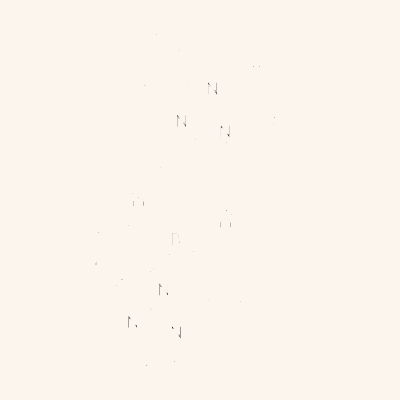 c1ccc(-c2nc(-c3ccccc3)nc(-c3cc4c5c(c3)Oc3cccc6c3B5c3c(cccc3N6c3ncccn3)O4)n2)cc1